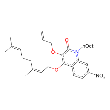 C=CCOc1c(OCC=C(C)CCC=C(C)C)c2ccc([N+](=O)[O-])cc2n(CCCCCCCC)c1=O